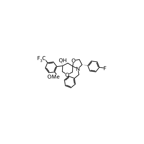 COc1ccc(C(F)(F)F)cc1[C@]1(O)COCC2(C1)OC[C@H](c1ccc(F)cc1)N2Cc1ccccc1